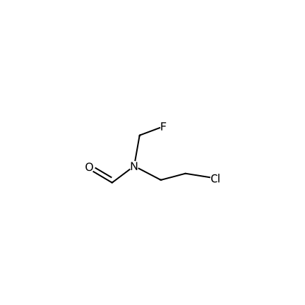 O=CN(CF)CCCl